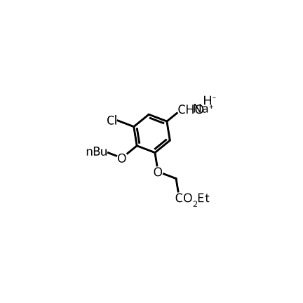 CCCCOc1c(Cl)cc(C=O)cc1OCC(=O)OCC.[H-].[Na+]